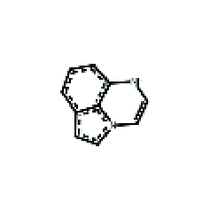 C1=Cn2ccc3cccc(c32)N1